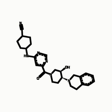 N#CC1CCC(Nc2cc(C(=O)N3CC[C@@H](N4CCc5ccccc5C4)[C@H](O)C3)ncn2)CC1